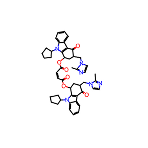 Cc1nccn1CC1CC(OC(=O)/C=C\C(=O)OC2CC(Cn3ccnc3C)C(=O)c3c2n(C2CCCC2)c2ccccc32)c2c(c3ccccc3n2C2CCCC2)C1=O